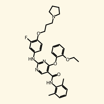 CCOc1ccccc1Oc1nc(Nc2ccc(OCCCN3CCCC3)c(F)c2)ncc1C(=O)Nc1c(C)cccc1C